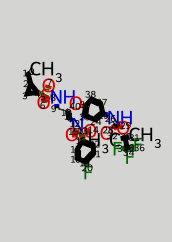 CCC1CC1S(=O)(=O)NC[C@H]1CN(S(=O)(=O)c2ccc(F)cc2)c2cc(NC(=O)OC(C)(C)C(F)(F)F)ccc2O1